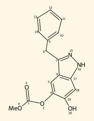 COC(=O)Oc1cc2c(Cc3ccccc3)n[nH]c2cc1O